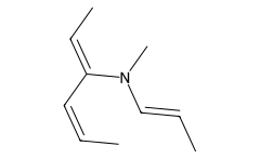 C/C=C\C(=C\C)N(C)/C=C/C